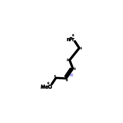 CCCCC/C=C\COC